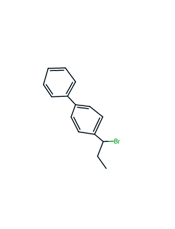 CCC(Br)c1ccc(-c2ccccc2)cc1